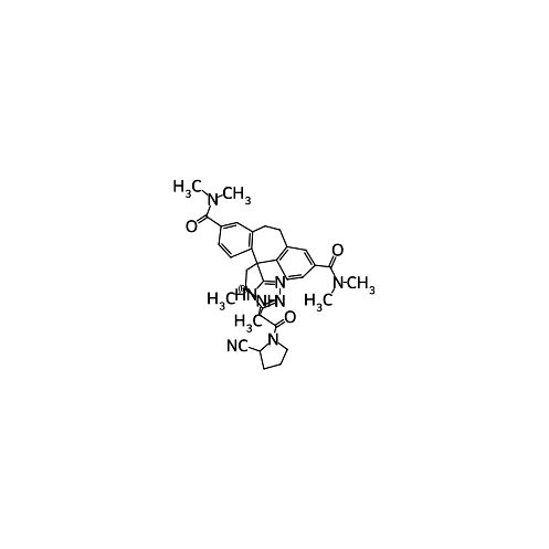 Cc1nnc(C2(C[C@@H](C)NCC(=O)N3CCCC3C#N)c3ccc(C(=O)N(C)C)cc3CCc3cc(C(=O)N(C)C)ccc32)[nH]1